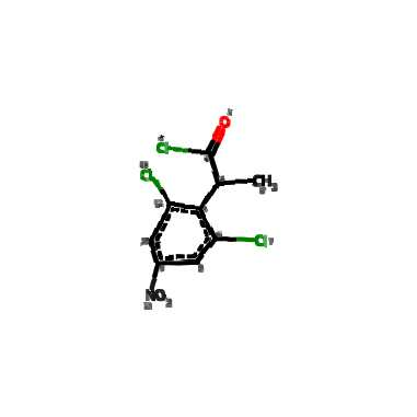 CC(C(=O)Cl)c1c(Cl)cc([N+](=O)[O-])cc1Cl